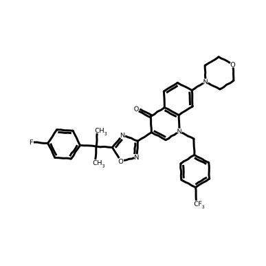 CC(C)(c1ccc(F)cc1)c1nc(-c2cn(Cc3ccc(C(F)(F)F)cc3)c3cc(N4CCOCC4)ccc3c2=O)no1